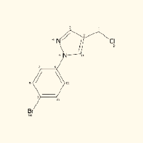 ClCc1cnn(-c2ccc(Br)cc2)c1